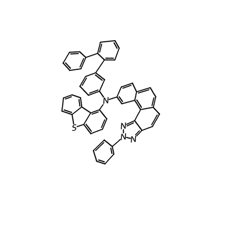 c1ccc(-c2ccccc2-c2cccc(N(c3ccc4ccc5ccc6nn(-c7ccccc7)nc6c5c4c3)c3cccc4sc5ccccc5c34)c2)cc1